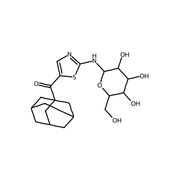 O=C(c1cnc(NC2OC(CO)C(O)C(O)C2O)s1)C12CC3CC(CC(C3)C1)C2